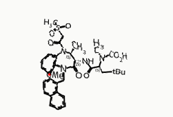 COc1ccc2ccccc2c1CN1C(=O)[C@@H](NC(=O)[C@H](CC(C)(C)C)N(C)C(=O)O)[C@H](C)N(C(=O)CS(C)(=O)=O)c2ccccc21